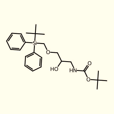 CC(C)(C)OC(=O)NCC(O)COC[Si](c1ccccc1)(c1ccccc1)C(C)(C)C